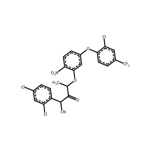 CC(Oc1cc(Oc2ccc(C(F)(F)F)cc2Cl)ccc1[N+](=O)[O-])C(=O)C(C#N)c1ccc(Cl)cc1Cl